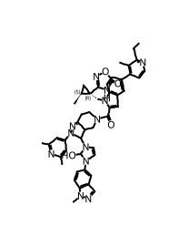 CCc1nccc(-c2ccc3c(c2)cc(C(=O)N2CCC4=NN(c5cc(C)nc(C)c5)C(N5C=CN(c6ccc7c(cnn7C)c6)C5O)C4C2)n3C[C@@]2(c3noc(=O)[nH]3)C[C@@H]2C)c1C